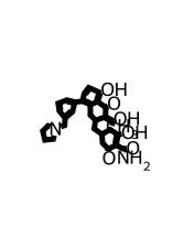 C/C(O)=C1/C(=O)c2c(O)ccc(-c3cccc(CN4CCCC4)c3)c2CC1CC1CC(=O)C(C(N)=O)=C(O)C1